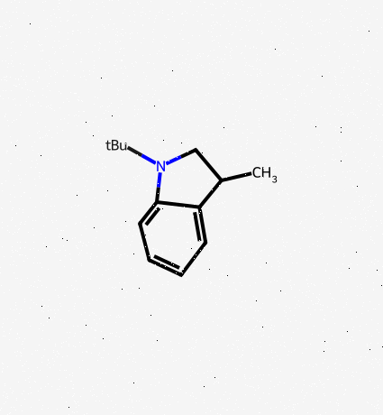 CC1CN(C(C)(C)C)c2ccccc21